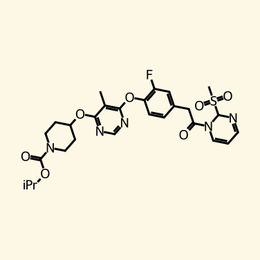 Cc1c(Oc2ccc(CC(=O)N3C=CC=NC3S(C)(=O)=O)cc2F)ncnc1OC1CCN(C(=O)OC(C)C)CC1